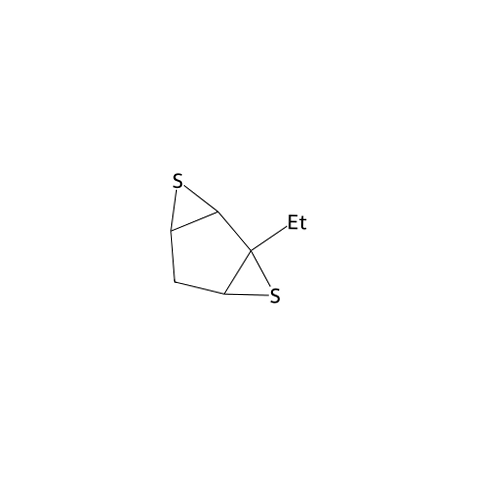 CCC12SC1CC1SC12